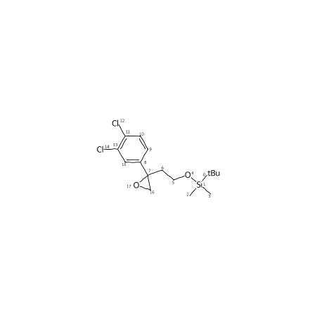 CC(C)(C)[Si](C)(C)OCCC1(c2ccc(Cl)c(Cl)c2)CO1